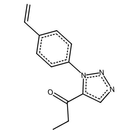 C=Cc1ccc(-n2nncc2C(=O)CC)cc1